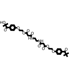 CC(C)(C)C(=O)c1ccc(OCCOC(=O)CC(=O)NCCNC(=O)CC(=O)OCCOc2ccc(C(=O)C(C)(C)O)cc2)cc1